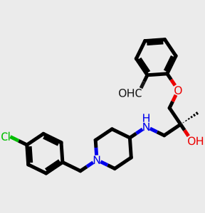 C[C@](O)(CNC1CCN(Cc2ccc(Cl)cc2)CC1)COc1ccccc1C=O